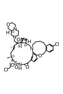 CO[C@@]1(CN2CCN3CCOC[C@@H]3C2)/C=C/C[C@H](C)[C@@H](CCCl)S(=O)(=O)NC2OC2c2ccc3c(c2)N(CCCCc2cc(Cl)ccc2CO3)C[C@@H]2CC[C@H]21